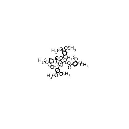 COc1ccc(C(=O)OCC(OC(=O)c2ccc(OC)c(OC)c2)C(COC(=O)c2ccc(OC)c(OC)c2)OC(=O)c2ccc(OC)c(OC)c2)cc1OC